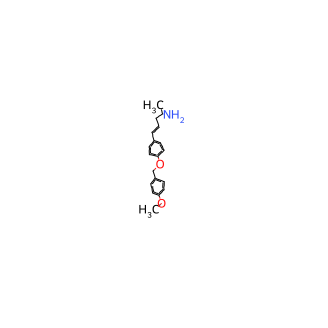 COc1ccc(COc2ccc(C=CCC(C)N)cc2)cc1